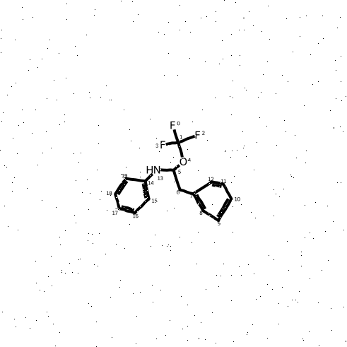 FC(F)(F)OC(Cc1ccccc1)Nc1cc[c]cc1